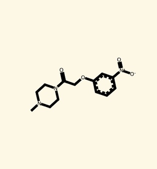 CN1CCN(C(=O)COc2cccc([N+](=O)[O-])c2)CC1